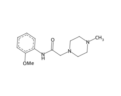 COc1ccccc1NC(=O)CN1CCN(C)CC1